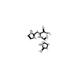 NC(=O)[C@H](Cc1ncc[nH]1)NC(=O)[C@@H]1CCC(=O)N1